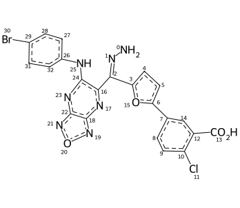 N/N=C(\c1ccc(-c2ccc(Cl)c(C(=O)O)c2)o1)c1nc2nonc2nc1Nc1ccc(Br)cc1